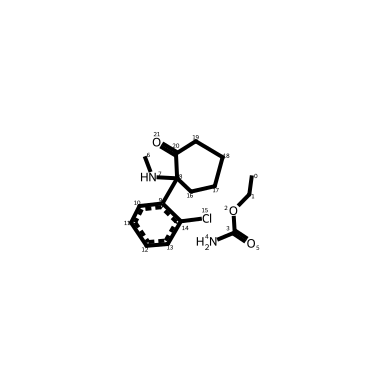 CCOC(N)=O.CNC1(c2ccccc2Cl)CCCCC1=O